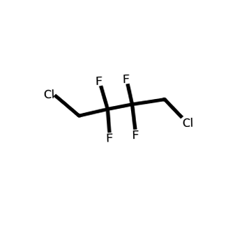 FC(F)(CCl)C(F)(F)CCl